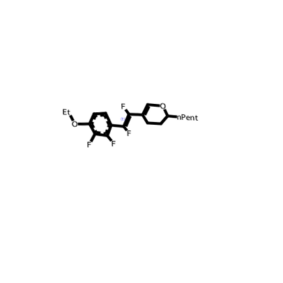 CCCCCC1CCC(/C(F)=C(\F)c2ccc(OCC)c(F)c2F)=CO1